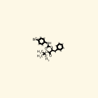 CC(C)(C)OC(=O)C(Cc1ccccc1)OC(=O)Nc1ccc(Br)cc1